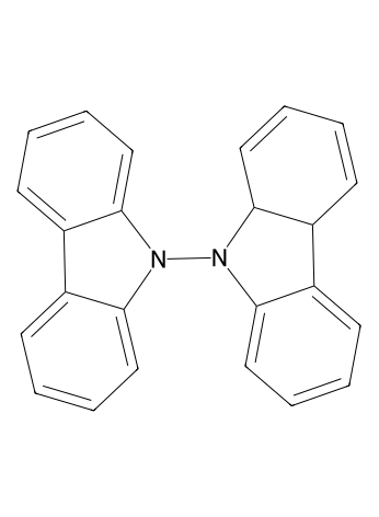 C1=CC2c3ccccc3N(n3c4ccccc4c4ccccc43)C2C=C1